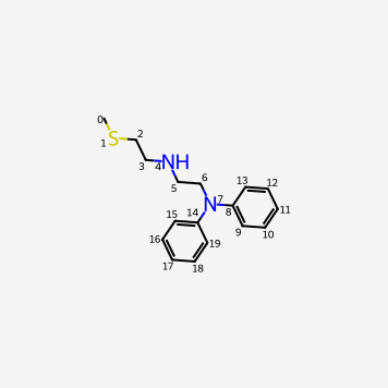 CSCCNCCN(c1ccccc1)c1ccccc1